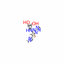 Cc1c(-c2ccn(C(C)C)n2)sc2nc(-c3nccn3C)nc(N[C@H]3C[C@@H](CO)[C@@H](CO)C3)c12